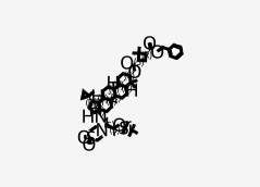 C[C@H](O[Si](C)(C)C(C)(C)C)[C@H](CN[C@]12CC[C@@H](C3(C)CC3)[C@@H]1[C@H]1CC[C@@H]3[C@@]4(C)CC[C@H](OC(=O)[C@H]5C[C@@H](C(=O)OCc6ccccc6)C5(C)C)C(C)(C)[C@@H]4CC[C@@]3(C)[C@]1(C)CC2)N1CCS(=O)(=O)CC1